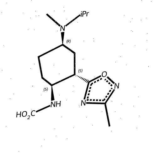 Cc1noc([C@H]2C[C@H](N(C)C(C)C)CC[C@@H]2NC(=O)O)n1